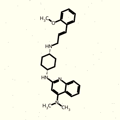 COc1ccccc1/C=C/CN[C@H]1CC[C@@H](Nc2cc(N(C)C)c3ccccc3n2)CC1